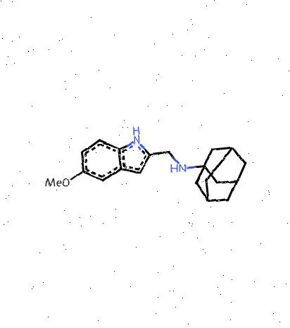 COc1ccc2[nH]c(CNC34CC5CC(CC(C5)C3)C4)cc2c1